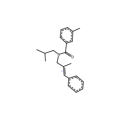 C/C(=C\c1ccccc1)CN(CC(C)C)C(=O)c1cccc(C)c1